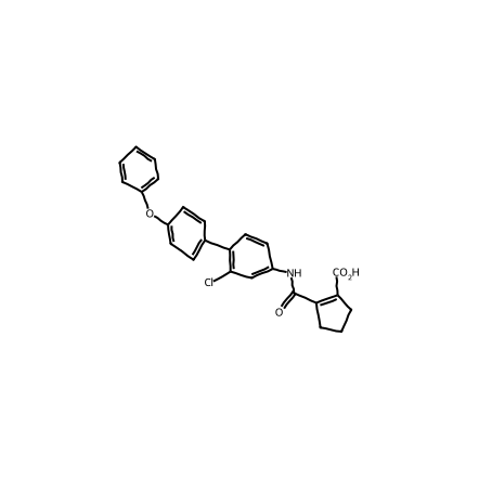 O=C(O)C1=C(C(=O)Nc2ccc(-c3ccc(Oc4ccccc4)cc3)c(Cl)c2)CCC1